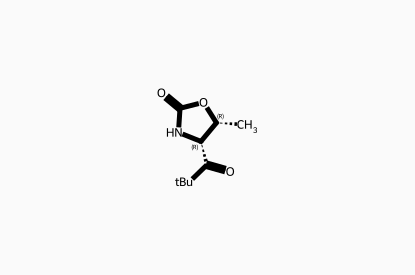 C[C@H]1OC(=O)N[C@H]1C(=O)C(C)(C)C